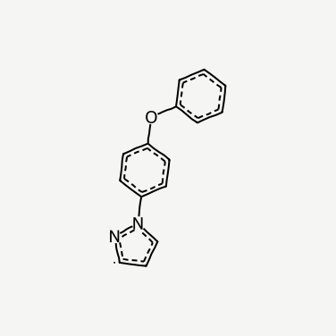 [c]1ccn(-c2ccc(Oc3ccccc3)cc2)n1